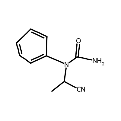 CC(C#N)N(C(N)=O)c1ccccc1